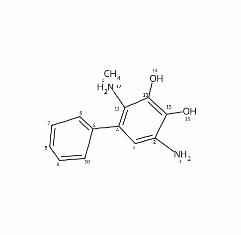 C.Nc1cc(-c2ccccc2)c(N)c(O)c1O